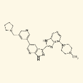 CN1CCN(c2cncc3[nH]c(-c4n[nH]c5ncc(-c6cncc(CN7CCCC7)c6)cc45)nc23)CC1